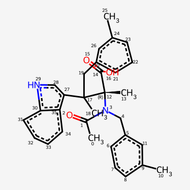 CC(=O)N(Cc1cccc(C)c1)[C@@](C)(C(=O)O)C(C)(Cc1cccc(C)c1)c1c[nH]c2ccccc12